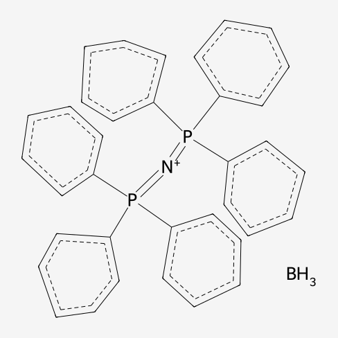 B.c1ccc(P(=[N+]=P(c2ccccc2)(c2ccccc2)c2ccccc2)(c2ccccc2)c2ccccc2)cc1